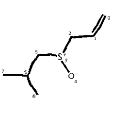 C=CC[S+]([O-])CC(C)C